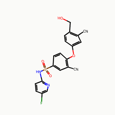 N#Cc1cc(Oc2ccc(S(=O)(=O)Nc3ccc(F)cn3)cc2C#N)ccc1CO